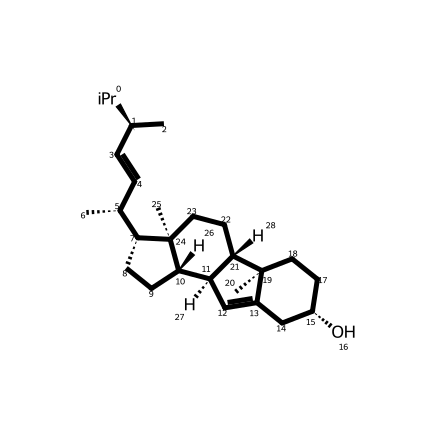 CC(C)[C@@H](C)C=C[C@@H](C)[C@H]1CC[C@H]2[C@@H]3C=C4C[C@@H](O)CC[C@]4(C)[C@H]3CC[C@]12C